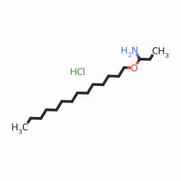 CCCCCCCCCCCCCCOC(N)CC.Cl